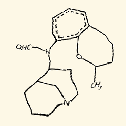 CC1CCCc2cccc(N(C=O)C3CCN4CCCC3C4)c2O1